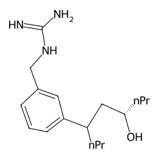 CCCC(C[C@@H](O)CCC)c1cccc(CNC(=N)N)c1